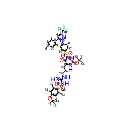 Cc1ccc(-c2cc(C(F)(F)F)nn2-c2ccc(S(=O)(=O)NC(=O)[C@H](CCCNC(=N)NS(=O)(=O)c3c(C)c(C)c4c(c3C)CC(C)(C)O4)NC(=O)OC(C)(C)C)cc2)cc1